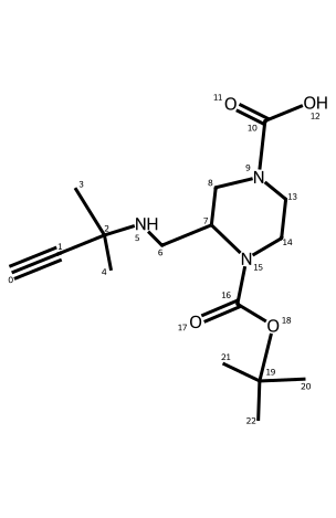 C#CC(C)(C)NCC1CN(C(=O)O)CCN1C(=O)OC(C)(C)C